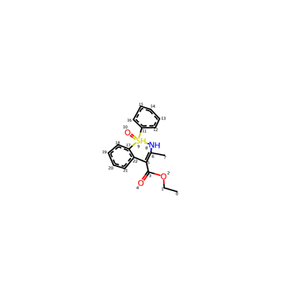 CCOC(=O)C1=C(C)N[SH](=O)(c2ccccc2)c2ccccc21